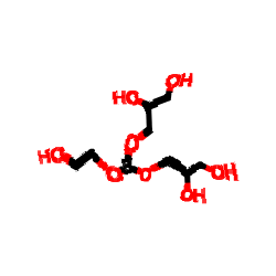 OCCOB(OCC(O)CO)OCC(O)CO